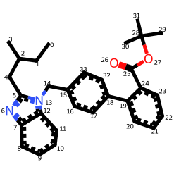 CCC(C)Cc1nc2ccccc2n1Cc1ccc(-c2ccccc2C(=O)OC(C)(C)C)cc1